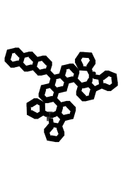 c1ccc(-p2c3ccccc3c3cccc(-c4cccc5c(-c6ccc7cc8ccccc8cc7c6)c6cccc(-c7cccc8c9ccccc9p(-c9ccccc9)c78)c6cc45)c32)cc1